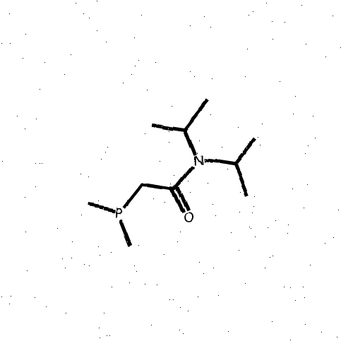 CC(C)N(C(=O)CP(C)C)C(C)C